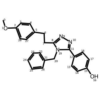 COc1ccc(CCc2nnc(-c3ccc(O)cc3)n2Cc2ccccc2)cc1